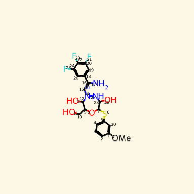 COc1cccc(SC2OC(CO)C(O)N(/C=C(\N)c3cc(F)c(F)c(F)c3)NC2O)c1